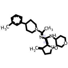 C=C1CC[S+]([O-])/C1=C(/N=C(\C)N1CCC(c2cccc(C)c2)CC1)NC1CCOCC1